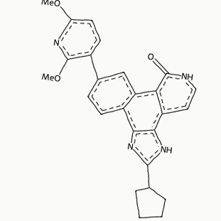 COc1ccc(-c2ccc3c(c2)c2c(=O)[nH]ccc2c2[nH]c(C4CCCC4)nc32)c(OC)n1